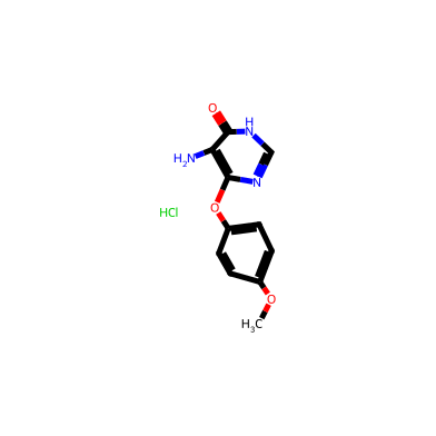 COc1ccc(Oc2nc[nH]c(=O)c2N)cc1.Cl